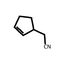 N#CCC1[CH]CC=C1